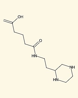 C=C(O)CCCC(=O)NCCC1CNCCN1